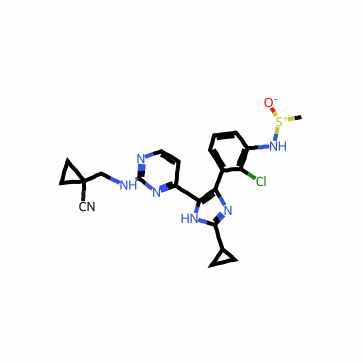 C[S+]([O-])Nc1cccc(-c2nc(C3CC3)[nH]c2-c2ccnc(NCC3(C#N)CC3)n2)c1Cl